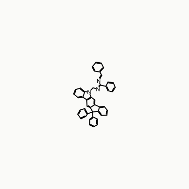 C(=N\C(=N/Cn1c2ccccc2c2cc3c(cc21)-c1ccccc1C3(c1ccccc1)c1ccccc1)c1ccccc1)/c1ccccc1